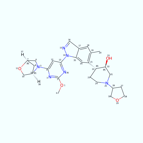 COc1nc(N2C[C@H]3C[C@@H]2CO3)cc(-n2ncc3cc(C)c([C@H]4CCN(C5CCOC5)C[C@@H]4O)cc32)n1